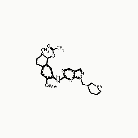 COc1cc2c(cc1Nc1ncc3cnn(C[C@@H]4CCCNC4)c3n1)C(OC(=O)C(F)(F)F)N(C)CC2